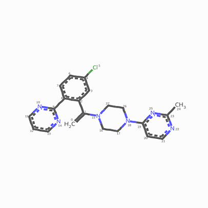 C=C(c1cc(Cl)ccc1-c1ncccn1)N1CCN(c2ccnc(C)n2)CC1